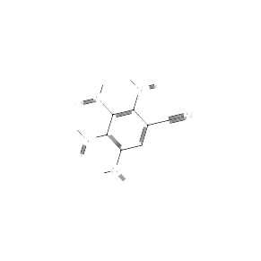 N#Cc1cc([N+](=O)[O-])c([N+](=O)[O-])c([N+](=O)[O-])c1[N+](=O)[O-]